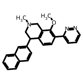 COc1c(-c2cccnn2)ccc2c1CN(C)CC2c1ccc2ccccc2c1